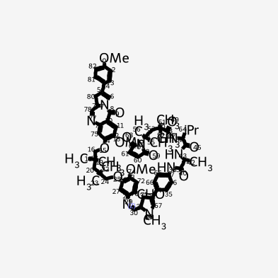 COc1ccc(C2=CN3C(=O)c4cc(OC)c(OCC(C)(C)CC(C)(C)COc5cc(/N=C\C6CC(c7ccc(NC(=O)C(C)NC(=O)C(NC(=O)C(C)(C)CC(C)(C)N8C(=O)C=CC8=O)C(C)C)cc7)=CN6C)c(C=O)cc5OC)cc4N=CC3C2)cc1